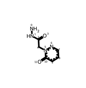 NNC(=O)Cn1ncccc1=O